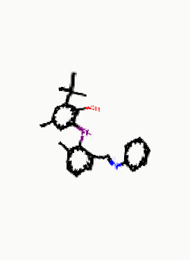 Cc1cc(Pc2c(C)cccc2/C=N/c2ccccc2)c(O)c(C(C)(C)C)c1